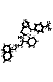 O=C(Cc1cncn1Cc1ccc([N+](=O)[O-])cc1)NC(CNCc1cccc2ccccc12)C1CCCCC1